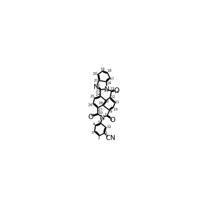 N#Cc1cccc(N2C(=O)c3ccc4c(=O)n5c6ccccc6nc5c5ccc(c3c45)C2=O)c1